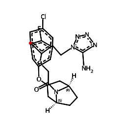 Nc1nnnn1Cc1cc(Cl)ccc1OCC(=O)N1[C@@H]2CC[C@H]1CC(Oc1ccc(F)cc1)C2